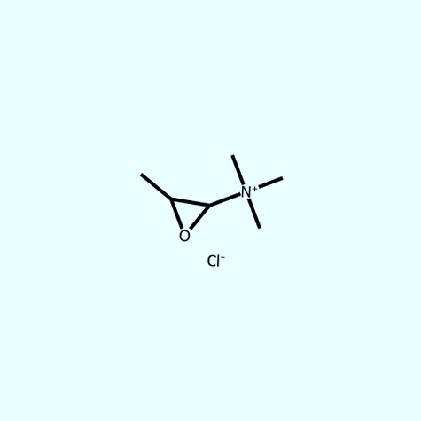 CC1OC1[N+](C)(C)C.[Cl-]